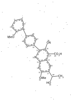 COc1ccccc1-c1ccc(-c2nc3cc(OC)c(C(C)O)cc3c(C(=O)O)c2C#N)cc1